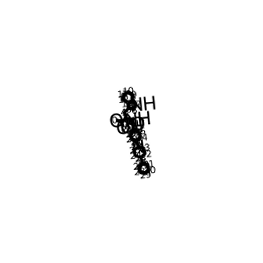 O=C(O)C(Cc1c[nH]c2ccccc12)NS(=O)(=O)c1ccc(N2CCC(c3ccccc3)CC2)cc1